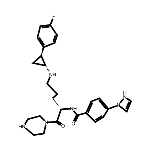 O=C(N[C@@H](CCCN[C@@H]1C[C@H]1c1ccc(F)cc1)C(=O)N1CCNCC1)c1ccc(-n2cc[nH]2)cc1